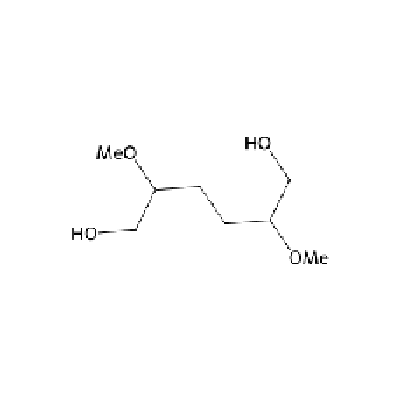 COC(CO)CCC(CO)OC